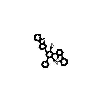 N#Cc1c(-c2ccccc2)cc(-c2ccc3c(c2)sc2ccccc23)c(C#N)c1-c1cccc2c1oc1ccccc12